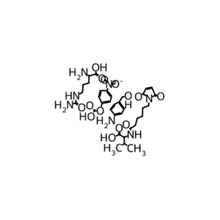 CC(C)C(NC(=O)CCCCCN1C(=O)C=CC1=O)C(=O)O.NC(=O)NCCCC(N)C(=O)O.Nc1ccc(CO)cc1.O=C(O)Oc1ccc([N+](=O)[O-])cc1